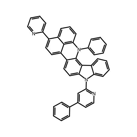 c1ccc(-c2ccnc(-n3c4ccccc4c4c5c(ccc43)-c3ccc(-c4ccccn4)c4cccc(c34)N5c3ccccc3)c2)cc1